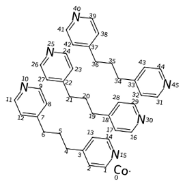 [Co].c1cc(CCCc2ccncc2)ccn1.c1cc(CCCc2ccncc2)ccn1.c1cc(CCCc2ccncc2)ccn1